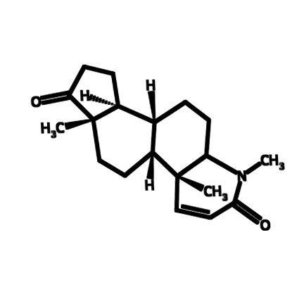 CN1C(=O)C=C[C@@]2(C)C1CC[C@@H]1[C@H]2CC[C@]2(C)C(=O)CC[C@@H]12